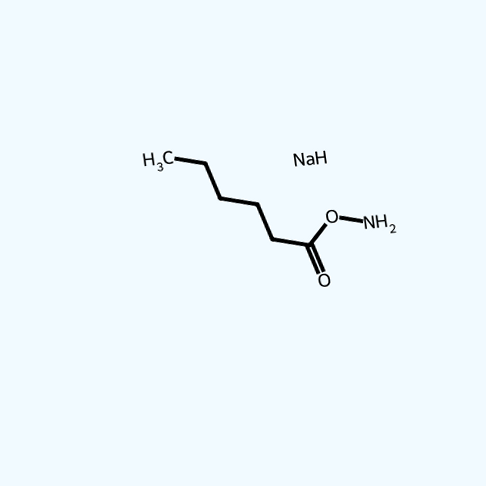 CCCCCC(=O)ON.[NaH]